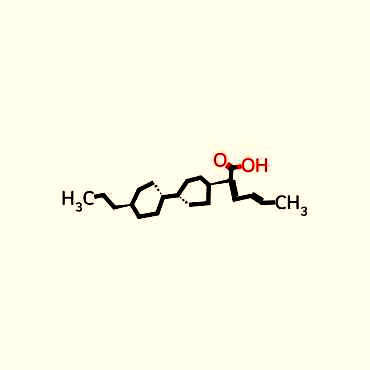 CC=CC=C(C(=O)O)[C@H]1CC[C@H]([C@H]2CC[C@H](CCC)CC2)CC1